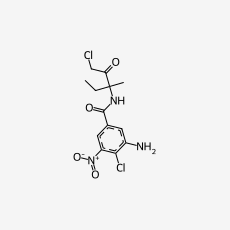 CCC(C)(NC(=O)c1cc(N)c(Cl)c([N+](=O)[O-])c1)C(=O)CCl